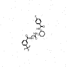 O=C(CNC(=O)c1cccc(C(F)(F)F)c1)N[C@H]1CCCC[C@H]1NC(=O)c1ccc(F)cc1